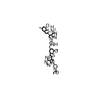 C=CC(=O)N1CCC(n2cc(-c3cc4cc(CC5CC(n6cc(-c7cc8cc(C)cc(OC)c8s7)c7c(N)ncnc76)CN5)cc(OC)c4s3)c3c(N)ncnc32)C1